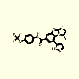 C[C@@H]1CSc2nc3cc(C(=O)Nc4ccc(OC(F)(F)Cl)cc4)cc(-c4ccn[nH]4)c3n21